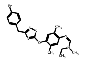 CCN(C)/C=N\c1cc(C)c(Oc2nc(Cc3ccc(Br)cc3)ns2)cc1C